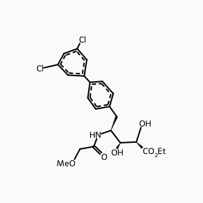 CCOC(=O)[C@H](O)[C@@H](O)[C@H](Cc1ccc(-c2cc(Cl)cc(Cl)c2)cc1)NC(=O)COC